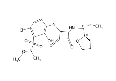 CC[C@@H](Nc1c(Nc2ccc(Cl)c(S(=O)(=O)N(C)OC)c2O)c(=O)c1=O)[C@H]1CCCO1